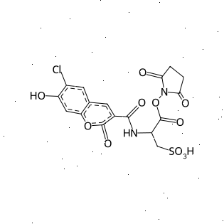 O=C(NC(CS(=O)(=O)O)C(=O)ON1C(=O)CCC1=O)c1cc2cc(Cl)c(O)cc2oc1=O